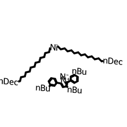 CCCCC1=C(c2cccc(CCCC)c2)[N+](=[N-])C(c2cccc(CCCC)c2)=C1.CCCCCCCCCCCCCCCCCCCCCCC[CH2][Ni][CH2]CCCCCCCCCCCCCCCCCCCCCCC